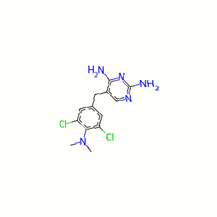 CN(C)c1c(Cl)cc(Cc2cnc(N)nc2N)cc1Cl